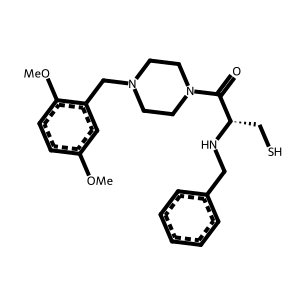 COc1ccc(OC)c(CN2CCN(C(=O)[C@H](CS)NCc3ccccc3)CC2)c1